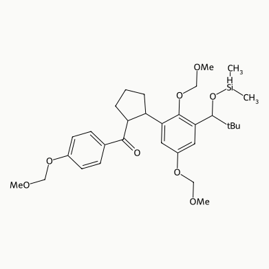 COCOc1ccc(C(=O)C2CCCC2c2cc(OCOC)cc(C(O[SiH](C)C)C(C)(C)C)c2OCOC)cc1